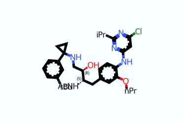 CCCOc1cc(C[C@H](NC(C)=O)[C@H](O)CNC2(c3cccc(C(C)(C)C)c3)CC2)ccc1Nc1cc(Cl)nc(C(C)C)n1